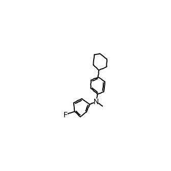 CN(c1ccc(F)cc1)c1ccc(C2CCCCC2)cc1